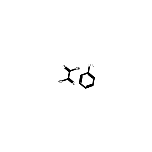 Bc1ccccc1.O=C(O)C(=O)O